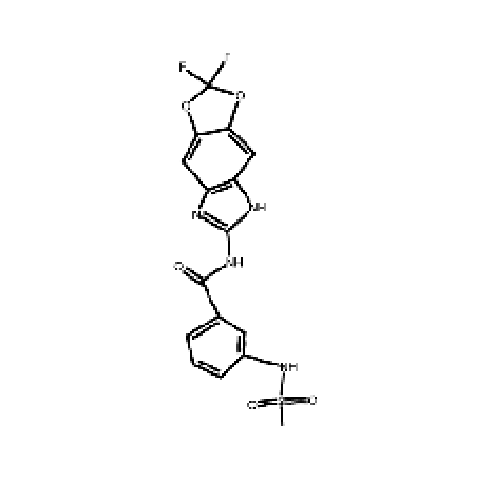 CS(=O)(=O)Nc1cccc(C(=O)Nc2nc3cc4c(cc3[nH]2)OC(F)(F)O4)c1